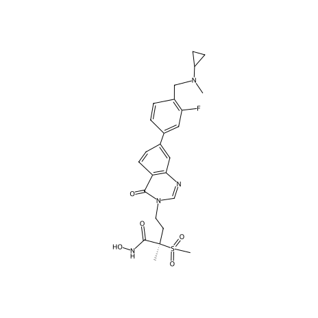 CN(Cc1ccc(-c2ccc3c(=O)n(CC[C@](C)(C(=O)NO)S(C)(=O)=O)cnc3c2)cc1F)C1CC1